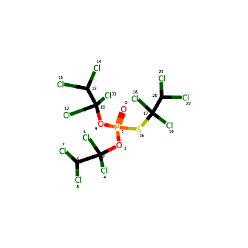 O=P(OC(Cl)(Cl)C(Cl)Cl)(OC(Cl)(Cl)C(Cl)Cl)SC(Cl)(Cl)C(Cl)Cl